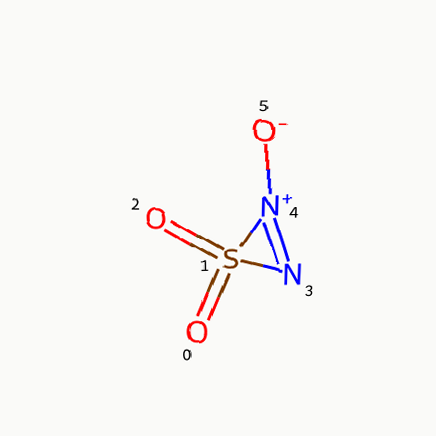 O=S1(=O)N=[N+]1[O-]